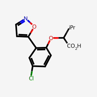 CC(C)C(Oc1ccc(Cl)cc1-c1ccno1)C(=O)O